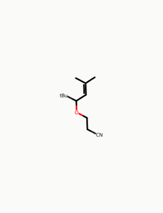 CC(C)=CC(OCCC#N)C(C)(C)C